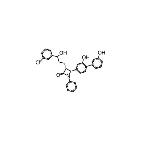 O=C1[C@H](CC[C@H](O)c2cccc(Cl)c2)[C@@H](c2ccc(-c3cccc(O)c3)c(O)c2)N1c1ccccc1